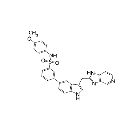 COc1ccc(NS(=O)(=O)c2cccc(-c3ccc4[nH]cc(Cc5nc6cnccc6[nH]5)c4c3)c2)cc1